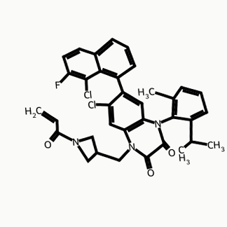 C=CC(=O)N1CC(Cn2c(=O)c(=O)n(-c3c(C)cccc3C(C)C)c3cc(-c4cccc5ccc(F)c(Cl)c45)c(Cl)cc32)C1